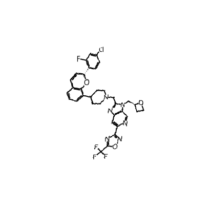 Fc1cc(Cl)ccc1[C@H]1C=Cc2cccc(C3CCN(Cc4nc5cc(-c6noc(C(F)(F)F)n6)ncc5n4C[C@@H]4CCO4)CC3)c2O1